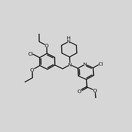 CCOc1cc(CN(c2cc(C(=O)OC)cc(Cl)n2)C2CCNCC2)cc(OCC)c1Cl